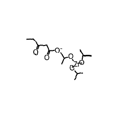 CC(C)[O][Zr+]([O]C(C)C)[O]C(C)C.CCC(=O)CC(=O)[O-]